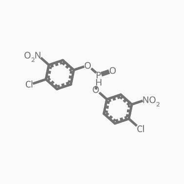 O=[N+]([O-])c1cc(O[PH](=O)Oc2ccc(Cl)c([N+](=O)[O-])c2)ccc1Cl